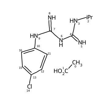 CC(=O)O.CC(C)NC(=N)NC(=N)Nc1ccc(Cl)cc1